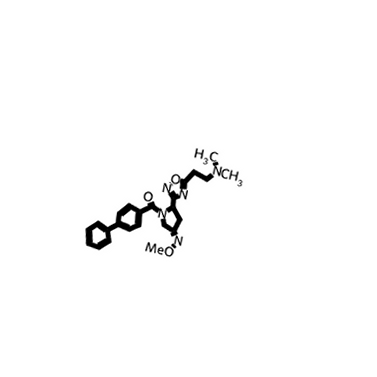 CON=C1CC(c2noc(CCN(C)C)n2)N(C(=O)c2ccc(-c3ccccc3)cc2)C1